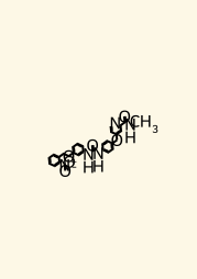 CNC(=O)c1cc(Oc2ccc(NC(=O)Nc3cccc(OCc4ccccc4[N+](=O)[O-])c3)cc2)ccn1